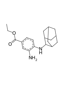 CCOC(=O)c1ccc(NC2C3CC4CC(C3)CC2C4)c(N)c1